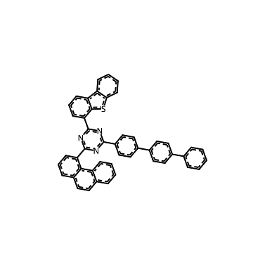 c1ccc(-c2ccc(-c3ccc(-c4nc(-c5cccc6c5sc5ccccc56)nc(-c5cccc6ccc7ccccc7c56)n4)cc3)cc2)cc1